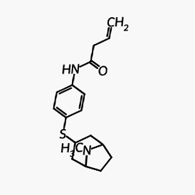 C=CCC(=O)Nc1ccc(SC2CC3CCC(C2)N3C)cc1